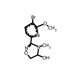 COc1nc(C2=NOCC(O)N2C)ccc1Br